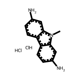 Cl.Cl.Cn1c2cc(N)ccc2c2ccc(N)cc21